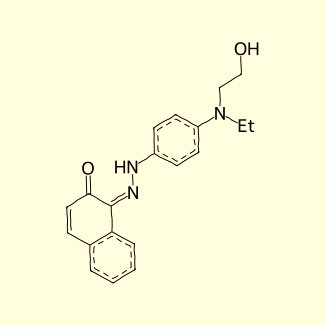 CCN(CCO)c1ccc(NN=C2C(=O)C=Cc3ccccc32)cc1